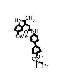 COc1ccc2[nH]c(C)c(CC(=O)Nc3ccc(-c4ccc(S(=O)(=O)NCC(C)C)cc4)cc3)c2c1